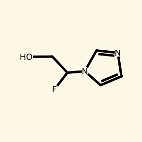 OCC(F)n1ccnc1